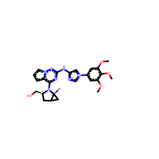 COc1cc(-n2cnc(Nc3nc(N4[C@H](CO)CC5C[C@H]54)c4cccn4n3)c2)cc(OC)c1OC